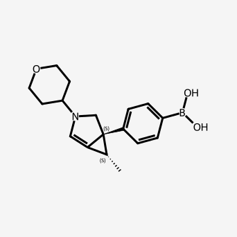 C[C@@H]1C2=CN(C3CCOCC3)C[C@@]21c1ccc(B(O)O)cc1